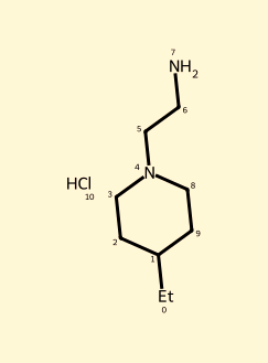 CCC1CCN(CCN)CC1.Cl